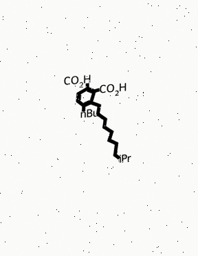 CCCCc1ccc(C(=O)O)c(C(=O)O)c1CCCCCCCCC(C)C